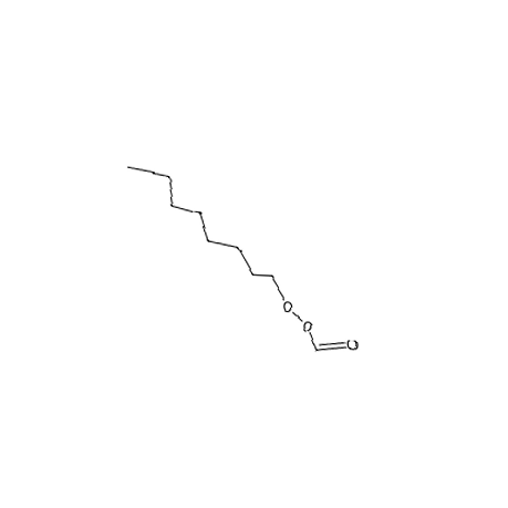 CCCCCCCCOOC=O